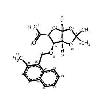 CC(=O)[C@H]1O[C@@H]2OC(C)(C)O[C@@H]2[C@H]1OCc1c(C)ccc2ccccc12